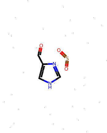 O=Cc1c[nH]cn1.O=S=O